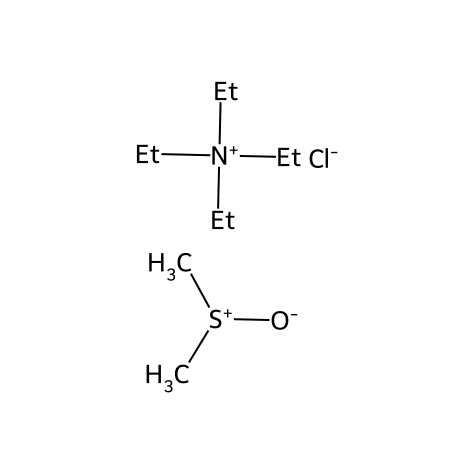 CC[N+](CC)(CC)CC.C[S+](C)[O-].[Cl-]